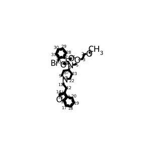 COCCOCN(C1CCN(CCc2coc3ccccc23)CC1)S(=O)(=O)c1ccccc1Br